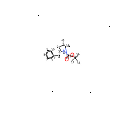 C[C@H]1C[C@@H](Cc2ccccc2)N(C(=O)OC(C)(C)C)C1